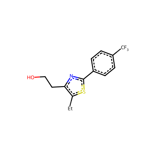 CCc1sc(-c2ccc(C(F)(F)F)cc2)nc1CCO